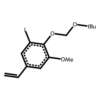 C=Cc1cc(I)c(OCOC(C)(C)C)c(OC)c1